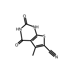 Cc1c(C#N)sc2[nH]c(=O)[nH]c(=O)c12